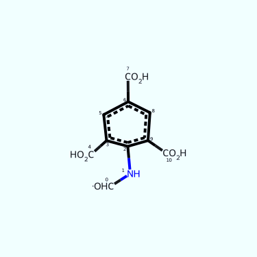 O=[C]Nc1c(C(=O)O)cc(C(=O)O)cc1C(=O)O